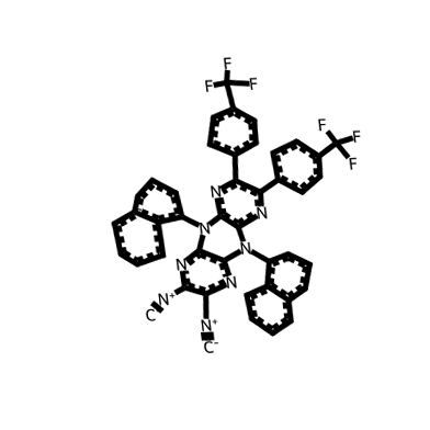 [C-]#[N+]c1nc2c(nc1[N+]#[C-])N(c1cccc3ccccc13)c1nc(-c3ccc(C(F)(F)F)cc3)c(-c3ccc(C(F)(F)F)cc3)nc1N2c1cccc2ccccc12